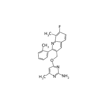 Cc1cc(OCc2cc3ccc(F)c(C)c3nc2-c2ccccc2C)nc(N)n1